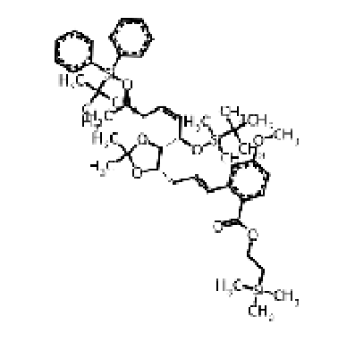 COc1ccc(C(=O)OCC[Si](C)(C)C)c(/C=C/C[C@@H]2OC(C)(C)O[C@@H]2C(/C=C\CC(C)O[Si](c2ccccc2)(c2ccccc2)C(C)(C)C)O[Si](C)(C)C(C)(C)C)c1